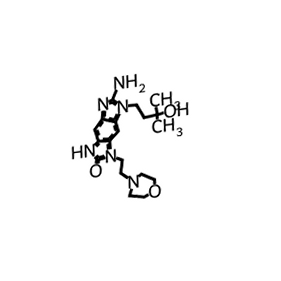 CC(C)(O)CCn1c(N)nc2cc3[nH]c(=O)n(CCN4CCOCC4)c3cc21